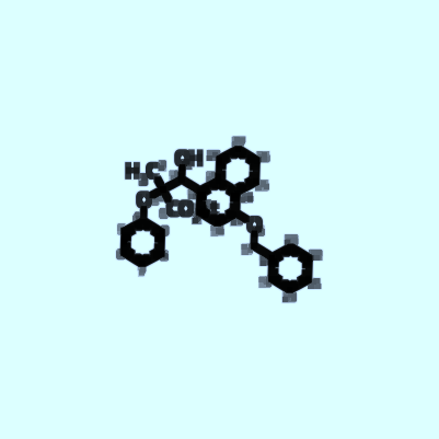 CCOC(=O)C(C)(Oc1ccccc1)C(O)c1ccc(OCc2ccccc2)c2ccccc12